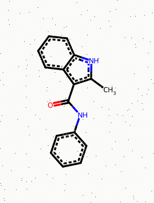 Cc1[nH]c2ccccc2c1C(=O)Nc1ccccc1